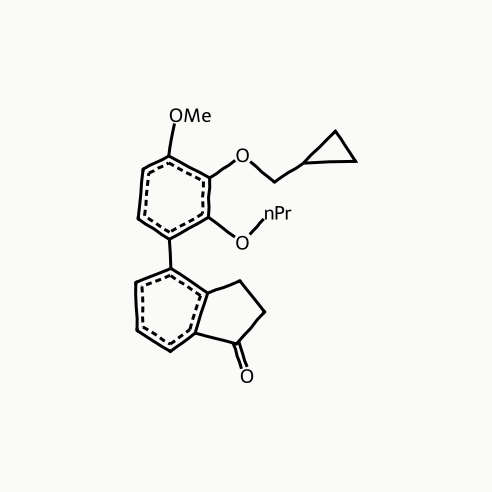 CCCOc1c(-c2cccc3c2CCC3=O)ccc(OC)c1OCC1CC1